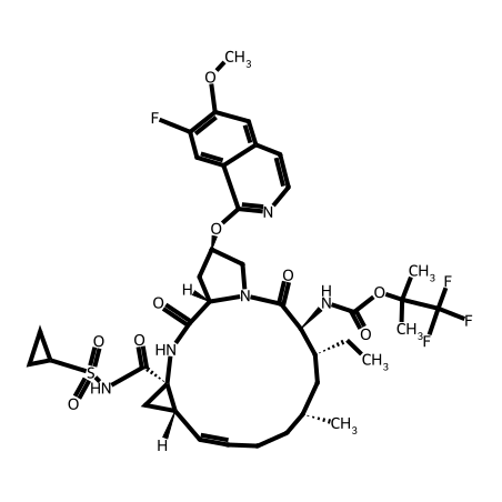 CC[C@@H]1C[C@H](C)CC/C=C\[C@@H]2C[C@@]2(C(=O)NS(=O)(=O)C2CC2)NC(=O)[C@@H]2C[C@@H](Oc3nccc4cc(OC)c(F)cc34)CN2C(=O)[C@H]1NC(=O)OC(C)(C)C(F)(F)F